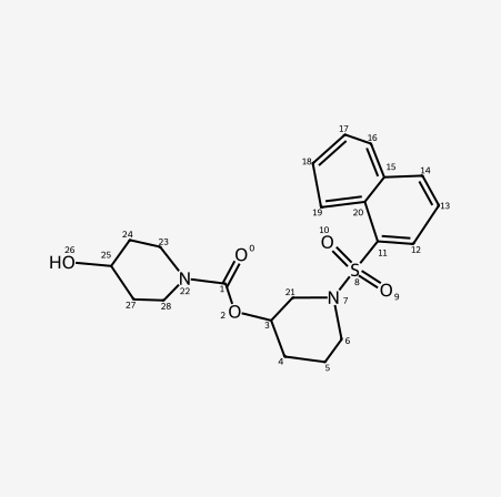 O=C(OC1CCCN(S(=O)(=O)c2cccc3ccccc23)C1)N1CCC(O)CC1